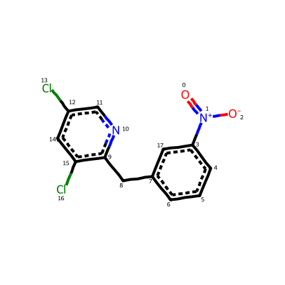 O=[N+]([O-])c1cccc(Cc2ncc(Cl)[c]c2Cl)c1